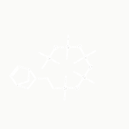 C[Si](C)(C)O[Si](C)(C)O[Si](C)(C)O[Si](C)(C)O[Si](C)(C)CCC1CC2C=CC1C2